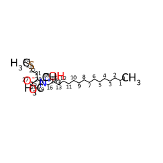 CCCCCCCCCCCCCCC(O)C[N+](C)(C)C(CCSC)C(=O)[O-]